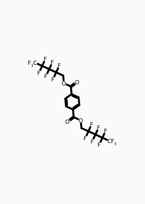 O=C(OCC(F)(F)C(F)(F)C(F)(F)C(F)(F)F)c1ccc(C(=O)OCC(F)(F)C(F)(F)C(F)(F)C(F)(F)F)cc1